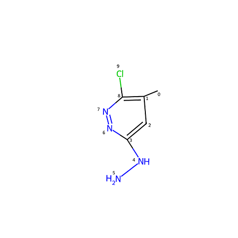 Cc1cc(NN)nnc1Cl